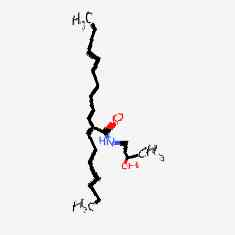 CCCCCCCCCC(CCCCCCC)C(=O)NCC(C)O